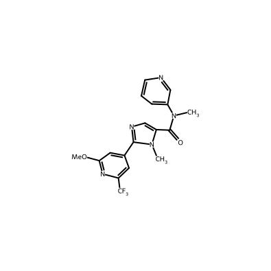 COc1cc(-c2ncc(C(=O)N(C)c3cccnc3)n2C)cc(C(F)(F)F)n1